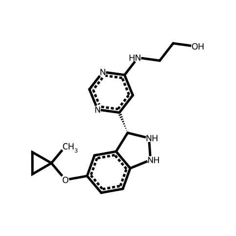 CC1(Oc2ccc3c(c2)[C@H](c2cc(NCCO)ncn2)NN3)CC1